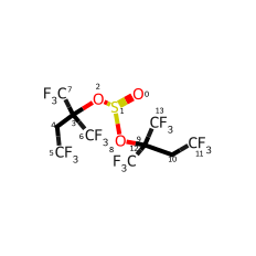 O=S(OC(CC(F)(F)F)(C(F)(F)F)C(F)(F)F)OC(CC(F)(F)F)(C(F)(F)F)C(F)(F)F